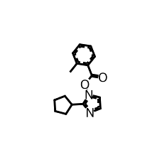 Cc1ccccc1C(=O)On1ccnc1C1CCCC1